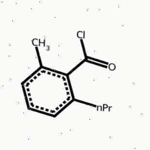 CCCc1cccc(C)c1C(=O)Cl